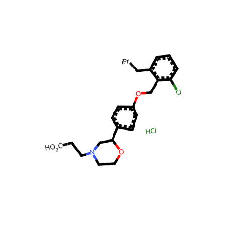 CC(C)Cc1cccc(Cl)c1COc1ccc(C2CN(CCC(=O)O)CCO2)cc1.Cl